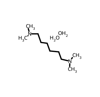 CN(C)CCCCCCN(C)C.O.O